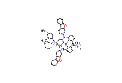 CC(C)(C)c1ccc2c(c1)C1(C)CCCCC1(C)N2c1cc2c3c(c1)N(c1ccc4c(c1)oc1ccccc14)c1cccc4c1B3c1c(cccc1[Si]4(C)C)N2c1ccc2c(c1)oc1ccccc12